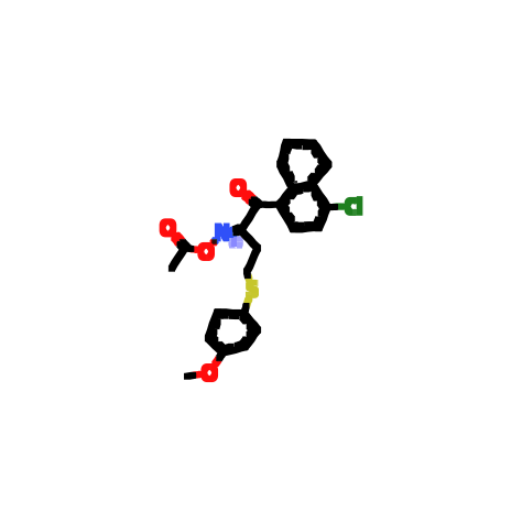 COc1ccc(SCC/C(=N\OC(C)=O)C(=O)c2ccc(Cl)c3ccccc23)cc1